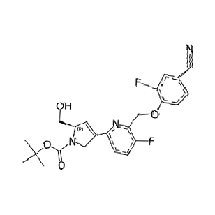 CC(C)(C)OC(=O)N1CC(c2ccc(F)c(COc3ccc(C#N)cc3F)n2)=C[C@@H]1CO